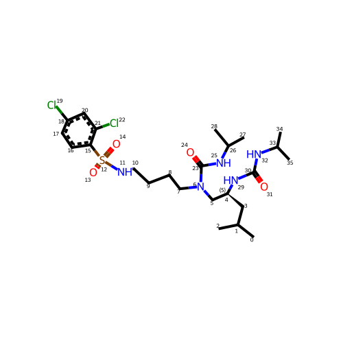 CC(C)C[C@@H](CN(CCCCNS(=O)(=O)c1ccc(Cl)cc1Cl)C(=O)NC(C)C)NC(=O)NC(C)C